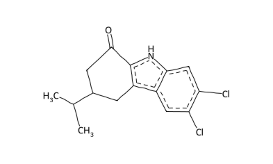 CC(C)C1CC(=O)c2[nH]c3cc(Cl)c(Cl)cc3c2C1